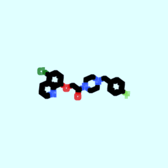 O=C(COc1ccc(Cl)c2cccnc12)N1CCN(Cc2ccc(F)cc2)CC1